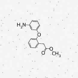 COC(=O)Cc1ccccc1Oc1cccc(N)c1